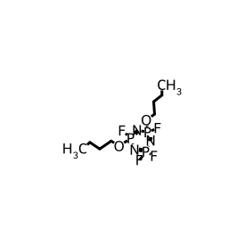 CCCCOP1(F)=NP(F)(F)=NP(F)(OCCCC)=N1